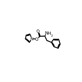 N[C@@H](Cc1ccccc1)C(=O)On1cccc1